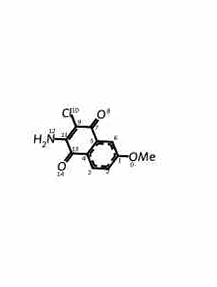 COc1ccc2c(c1)C(=O)C(Cl)=C(N)C2=O